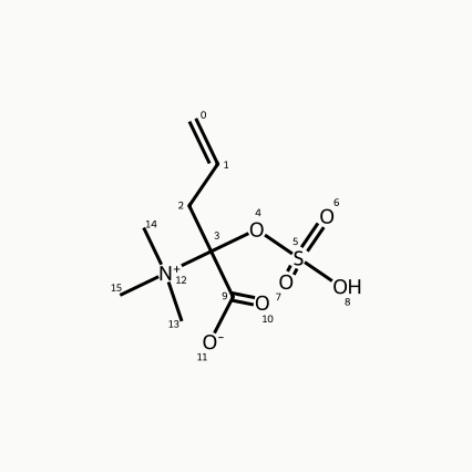 C=CCC(OS(=O)(=O)O)(C(=O)[O-])[N+](C)(C)C